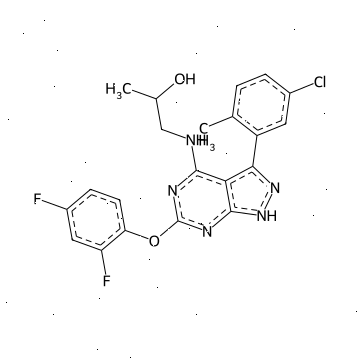 Cc1ccc(Cl)cc1-c1n[nH]c2nc(Oc3ccc(F)cc3F)nc(NCC(C)O)c12